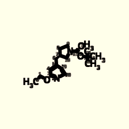 CCOc1cc(C[C@H]2CCN(C(=O)OC(C)(C)C)C2)ccn1